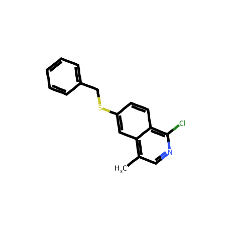 Cc1cnc(Cl)c2ccc(SCc3ccccc3)cc12